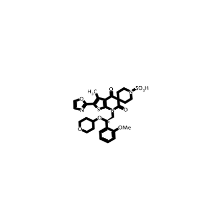 COc1ccccc1[C@H](CN1C(=O)C2(CCN(S(=O)(=O)O)CC2)C(=O)c2c1sc(-c1ncco1)c2C)OC1CCOCC1